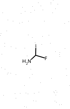 NC(F)I